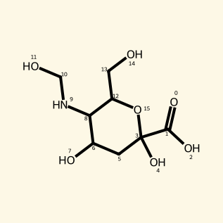 O=C(O)C1(O)CC(O)C(NCO)C(CO)O1